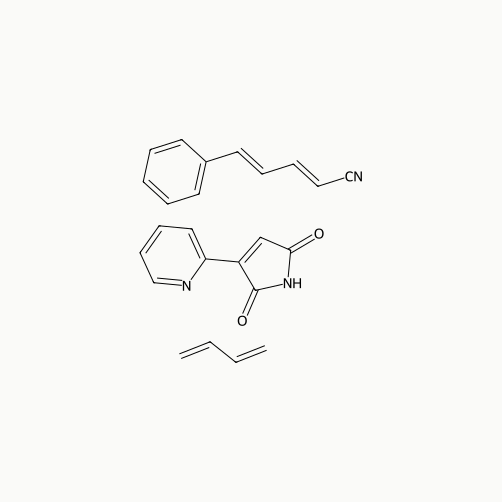 C=CC=C.N#CC=CC=Cc1ccccc1.O=C1C=C(c2ccccn2)C(=O)N1